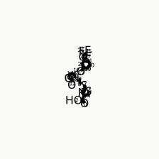 O=C(O)c1csc(SCCN2C(=O)OC[C@@H]2COc2cccc(OC(F)(F)F)c2)n1